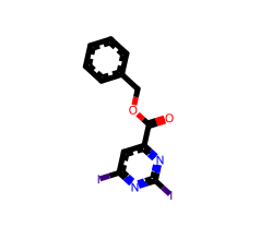 O=C(OCc1ccccc1)c1cc(I)nc(I)n1